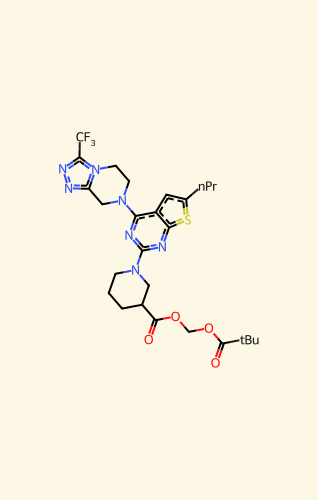 CCCc1cc2c(N3CCn4c(nnc4C(F)(F)F)C3)nc(N3CCCC(C(=O)OCOC(=O)C(C)(C)C)C3)nc2s1